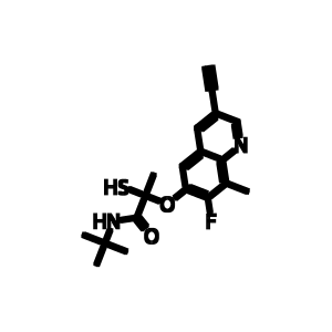 C#Cc1cnc2c(C)c(F)c(OC(C)(S)C(=O)NC(C)(C)C)cc2c1